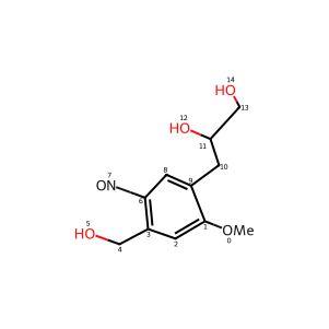 COc1cc(CO)c(N=O)cc1CC(O)CO